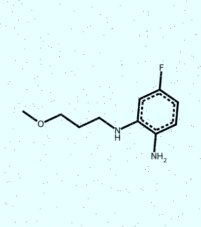 COCCCNc1cc(F)ccc1N